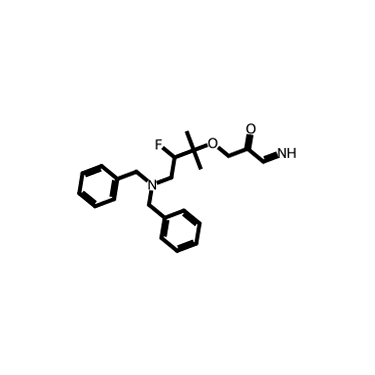 CC(C)(OCC(=O)C=N)C(F)CN(Cc1ccccc1)Cc1ccccc1